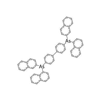 c1ccc2cc([As](c3ccc(-c4ccc([As](c5ccc6ccccc6c5)c5cccc6ccccc56)cc4)cc3)c3cccc4ccccc34)ccc2c1